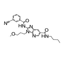 CCCCNC(=O)c1cnc2c(c1)nc(NC(=O)c1cccc(C#N)c1)n2CCCOC